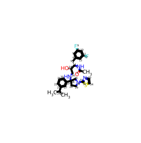 CC(=O)N[C@@H](Cc1cc(F)cc(F)c1)[C@@H](O)CNC1(c2cccc(C(C)C)c2)CCN(c2nccs2)C1